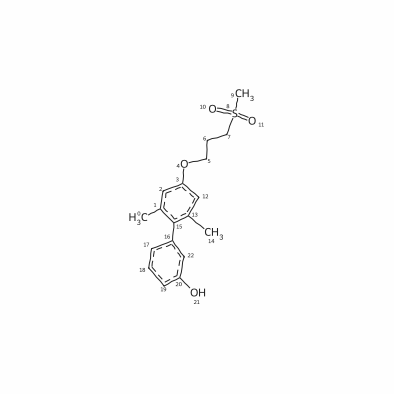 Cc1cc(OCCCS(C)(=O)=O)cc(C)c1-c1cccc(O)c1